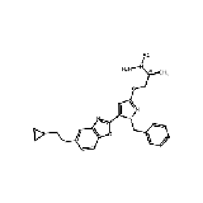 CC(=O)N(N)[C@@H](C)COc1cc(-c2nc3cc(OCC4CC4)ccc3o2)n(Cc2ccccc2)n1